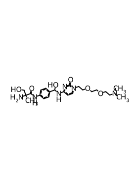 CN(C)CCOCCOCCn1ccc(NC(O)c2ccc(NC(=O)C(C)(N)CO)cc2)nc1=O